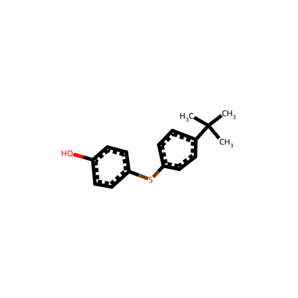 CC(C)(C)c1ccc(Sc2ccc(O)cc2)cc1